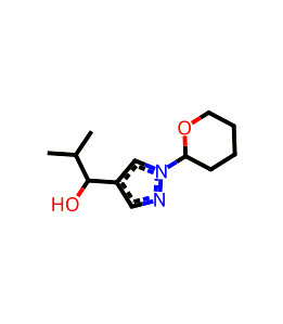 CC(C)C(O)c1cnn(C2CCCCO2)c1